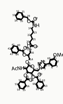 COc1cccc(-c2cn(CC3OC(OCC(CNC(=O)CCCCCNC(=O)OCc4ccccc4)OC(=O)c4ccccc4)C(NC(C)=O)C(OC(=O)c4ccccc4)C3OC(=O)c3ccccc3)nn2)c1